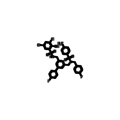 Cc1ccc(S(=O)(=O)N(Cc2ccc(F)cc2)Cc2cc(CNS(=O)(=O)c3cc(Cl)cc(Cl)c3O)cc(-c3ccc(F)cc3)c2)cc1